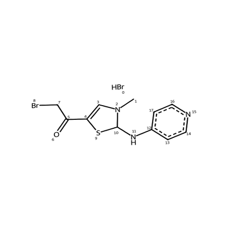 Br.CN1C=C(C(=O)CBr)SC1Nc1ccncc1